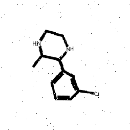 CC1NCCNC1c1cccc(Cl)c1